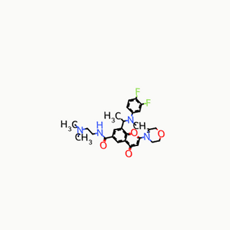 CC(c1cc(C(=O)NCCN(C)C)cc2c(=O)cc(N3CCOCC3)oc12)N(C)c1ccc(F)c(F)c1